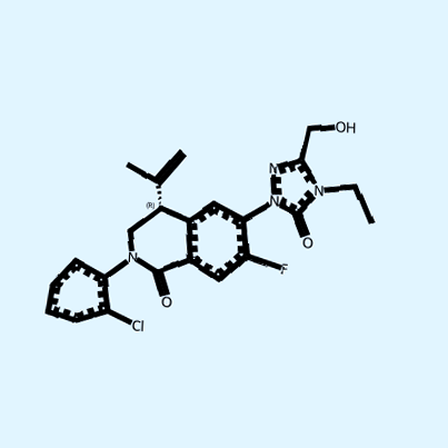 C=C(C)[C@H]1CN(c2ccccc2Cl)C(=O)c2cc(F)c(-n3nc(CO)n(CC)c3=O)cc21